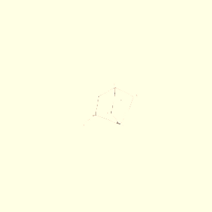 [O]C1CC2CCC1CC2